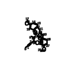 CC#C[C@H](O)[C@@H](C)S(=O)(=O)N(Cc1ccc(OC)cc1)Cc1ccc(OC)cc1